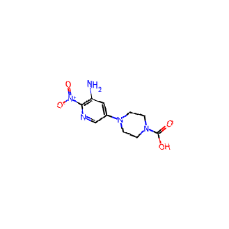 Nc1cc(N2CCN(C(=O)O)CC2)cnc1[N+](=O)[O-]